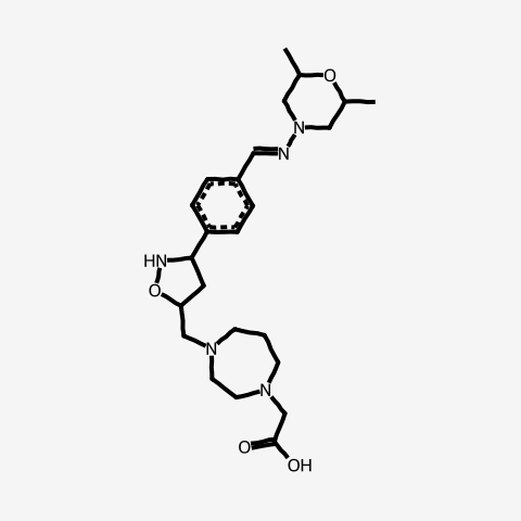 CC1CN(N=Cc2ccc(C3CC(CN4CCCN(CC(=O)O)CC4)ON3)cc2)CC(C)O1